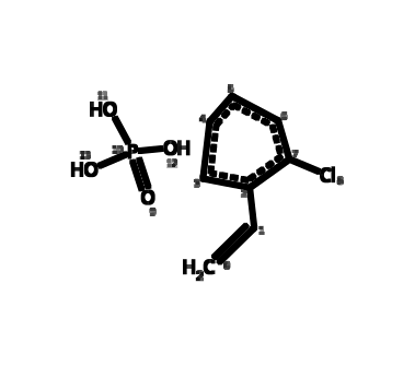 C=Cc1ccccc1Cl.O=P(O)(O)O